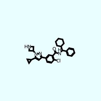 O=C(NC(c1ccccc1)C1CCCCC1)c1cc(-c2cc(C3CC3)n(C3CNC3)n2)ccc1Cl